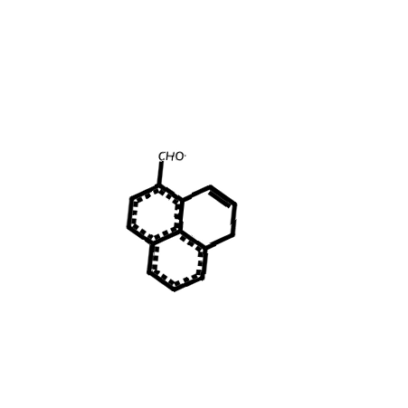 O=[C]c1ccc2cccc3c2c1C=CC3